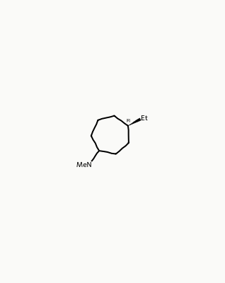 CC[C@@H]1CCCC(NC)CC1